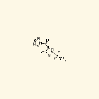 O=C(n1cncn1)n1nc(C(F)(F)C(F)(F)F)nc1F